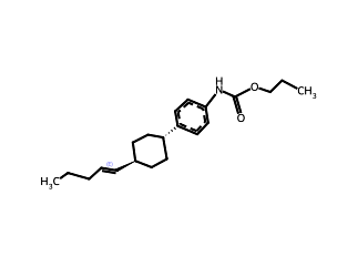 CCC/C=C/[C@H]1CC[C@H](c2ccc(NC(=O)OCCC)cc2)CC1